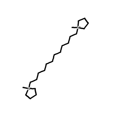 C[N+]1(CCCCCCCCCCCC[N+]2(C)CCCC2)CCCC1